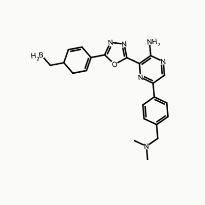 BCC1C=CC(c2nnc(-c3nc(-c4ccc(CN(C)C)cc4)cnc3N)o2)=CC1